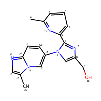 Cc1cccc(-c2nc(CO)cn2-c2ccc3ncc(C#N)n3c2)n1